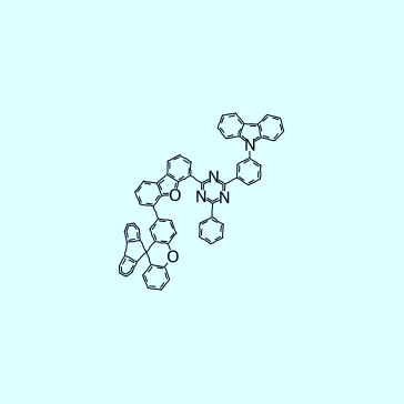 c1ccc(-c2nc(-c3cccc(-n4c5ccccc5c5ccccc54)c3)nc(-c3cccc4c3oc3c(-c5ccc6c(c5)C5(c7ccccc7O6)c6ccccc6-c6ccccc65)cccc34)n2)cc1